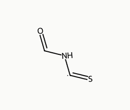 O=CN[C]=S